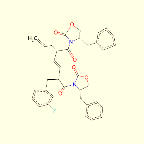 C=CC[C@@H](C=C[C@H](Cc1cccc(F)c1)C(=O)N1C(=O)OC[C@@H]1Cc1ccccc1)C(=O)N1C(=O)OC[C@@H]1Cc1ccccc1